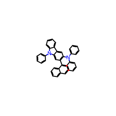 c1ccc(N(c2ccccc2)c2cc3c4ccccc4n(-c4ccccc4)c3cc2-c2cccc3ccccc23)cc1